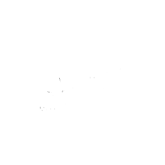 COC(=O)[C@@H](C)[C@H](c1ccc2c(c1)OC(c1ccc(C)cc1F)CC2)C1CC1